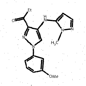 CCC(=O)c1nn(-c2cccc(OC)c2)cc1Nc1ccnn1C